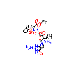 C#CC1(N)[C@@H](O)[C@@H](COP(=O)(N[C@@H](C)C(=O)OC(C)C)Oc2ccccc2)O[C@H]1n1ccc2c(=O)[nH]c(N)nc21